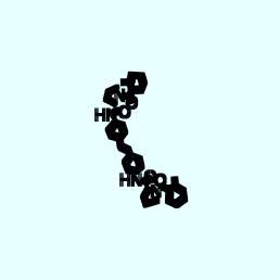 Cc1ccccc1C(=O)N1CCC[C@H]1C(=O)Nc1ccc(/C=C/c2ccc(NC(=O)[C@@H]3CCCN3C(=O)c3ccccc3C)cc2)cc1